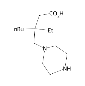 CCCCC(CC)(CC(=O)O)CN1CCNCC1